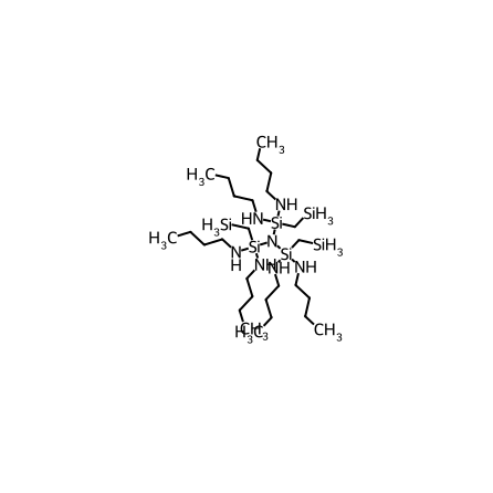 CCCCN[Si](C[SiH3])(NCCCC)N([Si](C[SiH3])(NCCCC)NCCCC)[Si](C[SiH3])(NCCCC)NCCCC